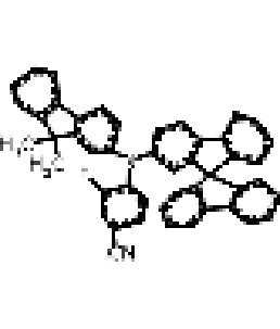 CC1(C)c2ccccc2-c2ccc(N(c3ccc4c(c3)C3(c5ccccc5-c5ccccc53)c3ccccc3-4)c3ccc(C#N)cc3F)cc21